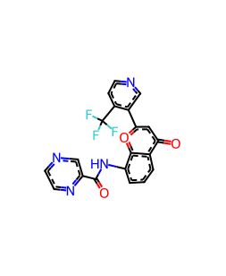 O=C(Nc1cccc2c(=O)cc(-c3cnccc3C(F)(F)F)oc12)c1cnccn1